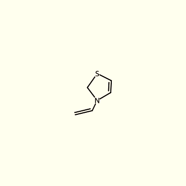 C=CN1C=CSC1